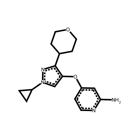 Nc1cc(Oc2cn(C3CC3)nc2C2CCOCC2)ccn1